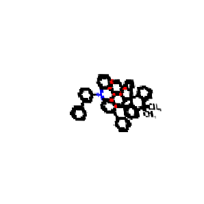 CC1(C)c2ccccc2C2(c3ccccc3-c3c(-c4ccccc4N(c4cccc(-c5ccccc5)c4)c4ccc(-c5ccccc5)cc4-c4ccccc4)cccc32)c2ccccc21